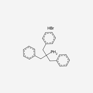 Br.PC(Cc1ccccc1)(Cc1ccccc1)Cc1ccccc1